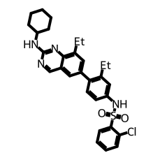 CCc1cc(NS(=O)(=O)c2ccccc2Cl)ccc1-c1cc(CC)c2nc(NC3CCCCC3)ncc2c1